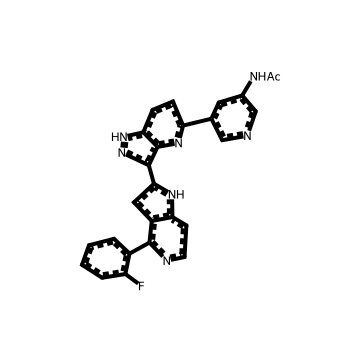 CC(=O)Nc1cncc(-c2ccc3[nH]nc(-c4cc5c(-c6ccccc6F)nccc5[nH]4)c3n2)c1